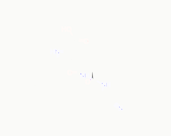 N#CCNC(=O)[C@@H]1CCCC[C@@]1(C(N)=O)c1c(C(=O)O)[nH]c2cc(Cl)ccc12